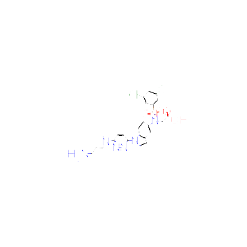 CN(CCCN)c1ccc(-n2ccc3cc(N(CC(=O)O)S(=O)(=O)c4cc(Cl)cc(Cl)c4)ccc32)nn1